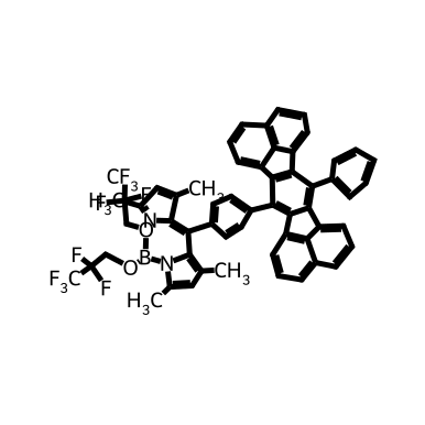 CC1=CC(C)=N/C1=C(/c1ccc(-c2c3c4cccc5cccc(c3c(-c3ccccc3)c3c6cccc7cccc(c23)c76)c54)cc1)c1c(C)cc(C)n1B(OCC(F)(F)C(F)(F)F)OCC(F)(F)C(F)(F)F